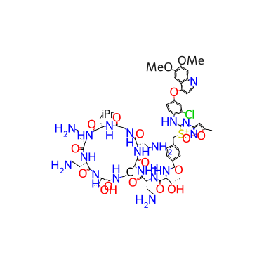 COc1cc2nccc(Oc3ccc(N/C(=N/c4cc(C)on4)[S+]([O-])Cc4ccc(C(=O)N[C@H](C(=O)N[C@H](CCN)C(=O)N[C@@H]5CCNC(=O)[C@H]([C@@H](C)O)NC(=O)[C@H](CCN)NC(=O)[C@H](CCN)NC(=O)[C@H](CC(C)C)NC(=O)CNC(=O)[C@H](CCN)NC5=O)[C@H](C)O)cc4)c(Cl)c3)c2cc1OC